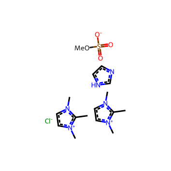 COS(=O)(=O)[O-].Cc1n(C)cc[n+]1C.Cc1n(C)cc[n+]1C.[Cl-].c1c[nH]cn1